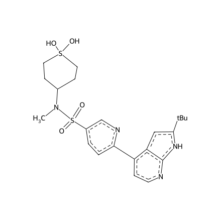 CN(C1CCS(O)(O)CC1)S(=O)(=O)c1ccc(-c2ccnc3[nH]c(C(C)(C)C)cc23)nc1